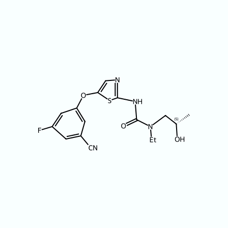 CCN(C[C@H](C)O)C(=O)Nc1ncc(Oc2cc(F)cc(C#N)c2)s1